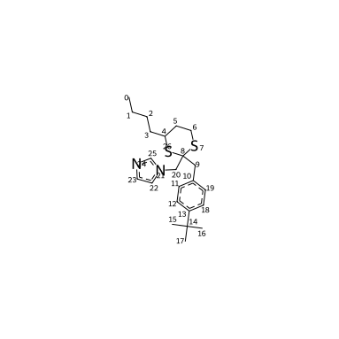 CCCCC1CCSC(Cc2ccc(C(C)(C)C)cc2)(Cn2ccnc2)S1